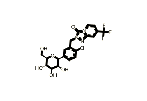 O=c1n(Cc2cc([C@@H]3O[C@H](CO)[C@@H](O)[C@H](O)[C@@H]3O)ccc2Cl)nc2cc(C(F)(F)F)ccn12